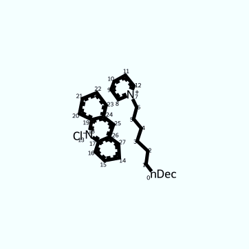 CCCCCCCCCCCCCCCC[n+]1ccccc1.[Cl-].c1ccc2nc3ccccc3cc2c1